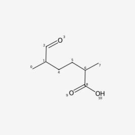 CC(C=O)CCC(C)C(=O)O